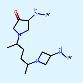 CC(C)NC1CN(C(C)CCC(C)N2CC(=O)C(NC(C)C)C2)C1